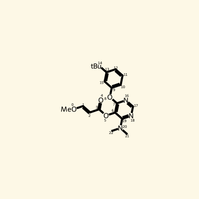 COC=CC(=O)Oc1c(Oc2cccc(C(C)(C)C)c2)ncnc1N(C)C